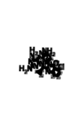 N#Cc1c(N)nc(N)nc1NC(c1nc2cccc(Cl)c2c(=O)n1-c1cnc(N)cn1)C1CC1